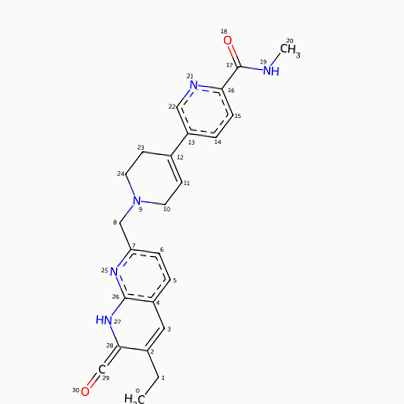 CCC1=Cc2ccc(CN3CC=C(c4ccc(C(=O)NC)nc4)CC3)nc2NC1=C=O